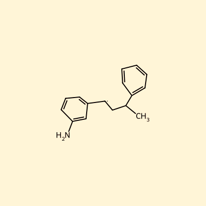 CC(C[CH]c1cccc(N)c1)c1ccccc1